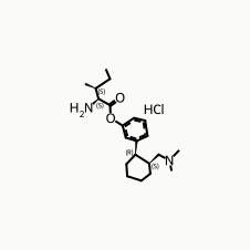 CC[C@H](C)[C@H](N)C(=O)Oc1cccc([C@@H]2CCCC[C@@H]2CN(C)C)c1.Cl